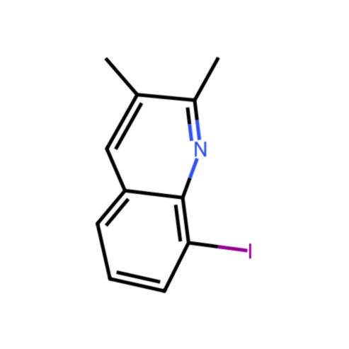 Cc1cc2cccc(I)c2nc1C